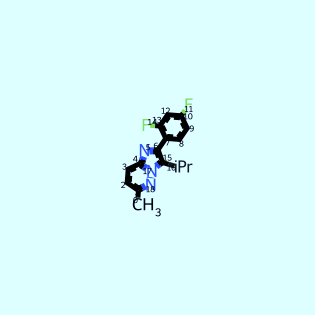 Cc1ccc2nc(-c3ccc(F)cc3F)c(C(C)C)n2n1